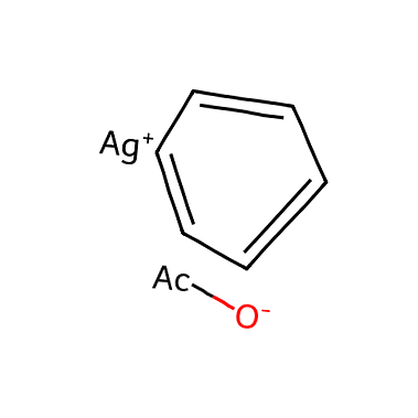 CC(=O)[O-].[Ag+].c1ccccc1